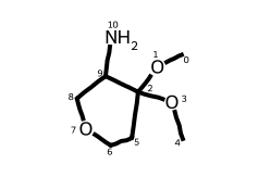 COC1(OC)CCOCC1N